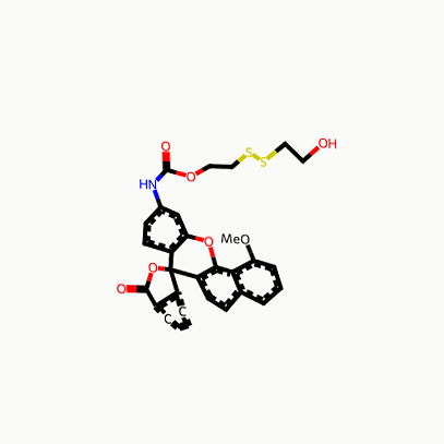 COc1cccc2ccc3c(c12)Oc1cc(NC(=O)OCCSSCCO)ccc1C31OC(=O)c2ccccc21